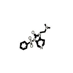 CN(C)CCn1c(=O)n(S(=O)(=O)c2ccccc2)c2cnccc21